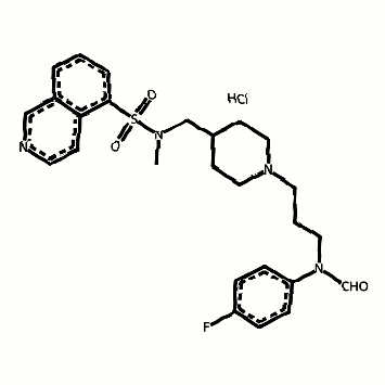 CN(CC1CCN(CCCN(C=O)c2ccc(F)cc2)CC1)S(=O)(=O)c1cccc2cnccc12.Cl